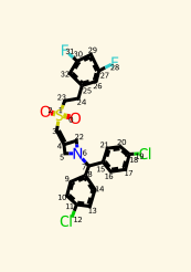 O=S(=O)(C=C1CN(C(c2ccc(Cl)cc2)c2ccc(Cl)cc2)C1)CCc1cc(F)cc(F)c1